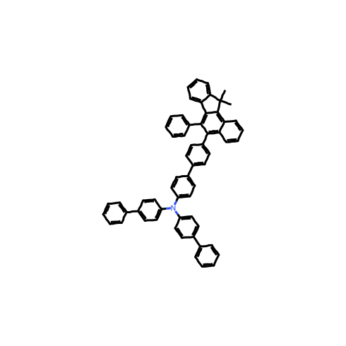 CC1(C)c2ccccc2-c2c(-c3ccccc3)c(-c3ccc(-c4ccc(N(c5ccc(-c6ccccc6)cc5)c5ccc(-c6ccccc6)cc5)cc4)cc3)c3ccccc3c21